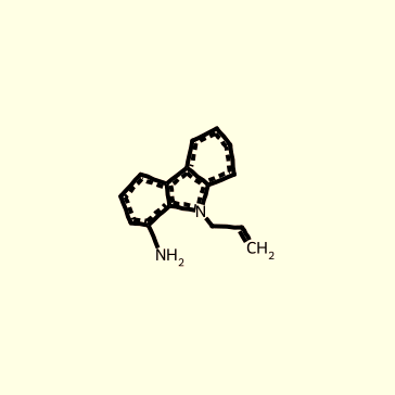 C=CCn1c2ccccc2c2cccc(N)c21